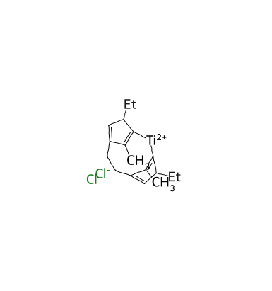 CCC1C=C2CCC3=CC(CC)[C](=C3C)[Ti+2][C]1=C2C.[Cl-].[Cl-]